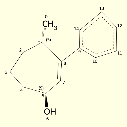 C[C@H]1CCC[C@H](O)C=C1c1ccccc1